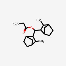 CC1C2CCC(C2)C1C(OC(=O)CC(=O)O)C1C2CCC(C2)C1C